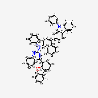 c1ccc(-n2c3ccccc3c3ccc(-c4cc5c6ccccc6n(-c6nc(-c7cccc8c7oc7ccccc78)c7ccccc7n6)c5c5ccccc45)cc32)cc1